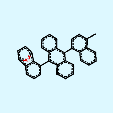 Cc1ccc(-c2c3ccccc3c(-c3cccc4c5ccc(o5)c34)c3ccccc23)c2ccccc12